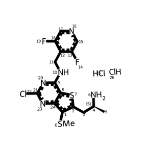 CSc1c(C[C@H](C)N)sc2c(NCc3c(F)cncc3F)nc(Cl)nc12.Cl.Cl